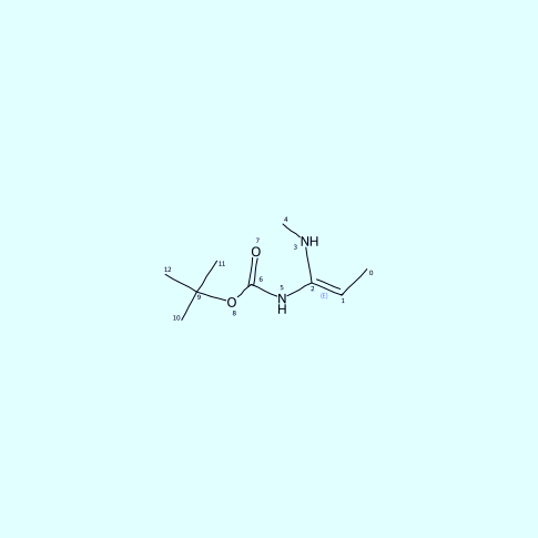 C/C=C(\NC)NC(=O)OC(C)(C)C